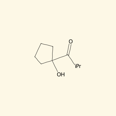 CC(C)C(=O)C1(O)CCCC1